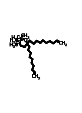 C=CCCCCCCCCC1(CCCCCCCCC=C)CC[Si](C)(C)[Si](C)(C)O1